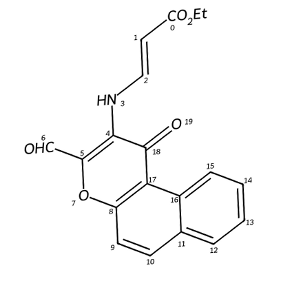 CCOC(=O)C=CNc1c(C=O)oc2ccc3ccccc3c2c1=O